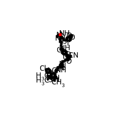 Cc1sc2c(c1C)C(c1ccc(Cl)cc1)=N[C@H](CC(=O)NCc1cn(CCCC(=O)N(CC#N)S(=O)(=O)c3ccc(C(=O)NCCCn4c(Sc5cc6c(cc5I)OCO6)nc5c(N)ncnc54)cc3)nn1)c1nnc(C)n1-2